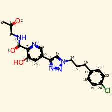 CC(=O)CNC(=O)c1ncc(-c2cn(CCCc3ccc(Cl)cc3)nn2)cc1O